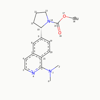 CN(C)c1nccc2cc([C@@H]3CCCN3C(=O)OC(C)(C)C)ccc12